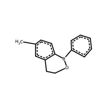 Cc1ccc2c(c1)CCOB2c1ccccc1